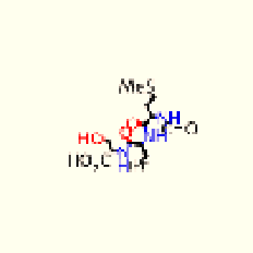 CSCCC(NC=O)C(=O)NC(CC(C)C)C(=O)NC(CO)C(=O)O